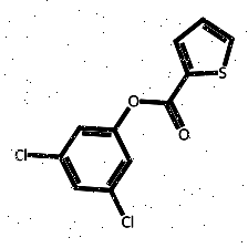 O=C(Oc1cc(Cl)cc(Cl)c1)c1cccs1